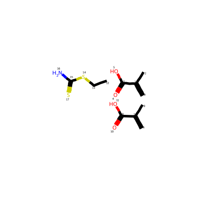 C=C(C)C(=O)O.C=C(C)C(=O)O.CCSC(N)=S